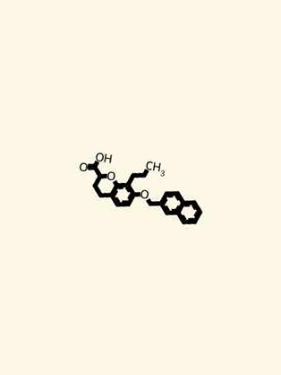 CCCc1c(OCc2ccc3ccccc3c2)ccc2c1OC(C(=O)O)CC2